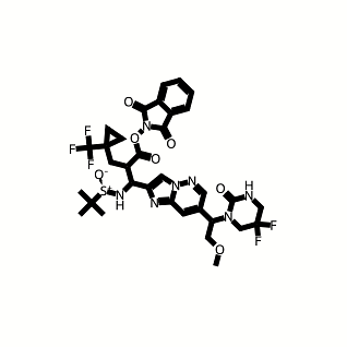 COCC(c1cnn2cc(C(N[S@@+]([O-])C(C)(C)C)C(CC3(C(F)(F)F)CC3)C(=O)ON3C(=O)c4ccccc4C3=O)nc2c1)N1CC(F)(F)CNC1=O